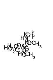 CC(=O)OC(C)C1(C(=O)O)CCC(C(C)(O)c2ccc(-c3cc(C)cc(Nc4cc(C(F)F)ccn4)n3)cn2)CC1